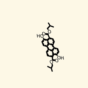 CC(C)COC(=O)c1ccc2c3ccc(O)c4c(C(=O)OCC(C)C)ccc(c5ccc(O)c1c52)c43